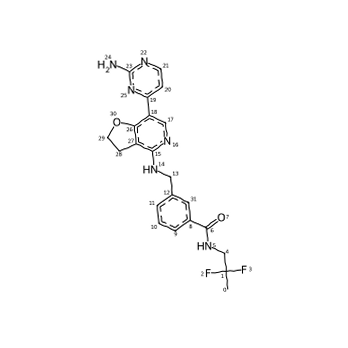 CC(F)(F)CNC(=O)c1cccc(CNc2ncc(-c3ccnc(N)n3)c3c2CCO3)c1